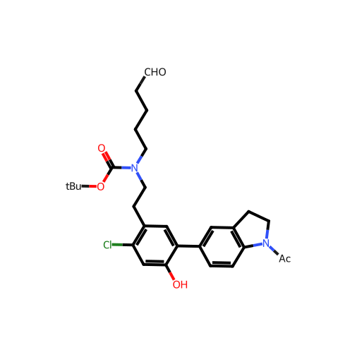 CC(=O)N1CCc2cc(-c3cc(CCN(CCCCC=O)C(=O)OC(C)(C)C)c(Cl)cc3O)ccc21